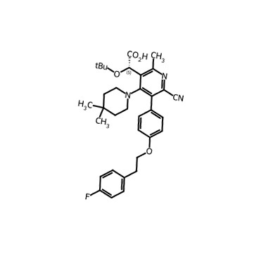 Cc1nc(C#N)c(-c2ccc(OCCc3ccc(F)cc3)cc2)c(N2CCC(C)(C)CC2)c1[C@H](OC(C)(C)C)C(=O)O